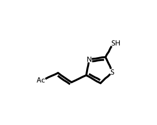 CC(=O)C=Cc1csc(S)n1